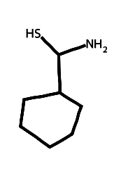 NC(S)C1CCCCC1